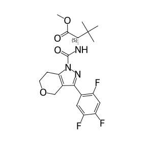 COC(=O)[C@@H](NC(=O)n1nc(-c2cc(F)c(F)cc2F)c2c1CCOC2)C(C)(C)C